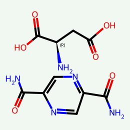 NC(=O)c1cnc(C(N)=O)cn1.N[C@H](CC(=O)O)C(=O)O